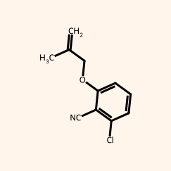 C=C(C)COc1cccc(Cl)c1C#N